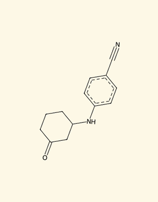 N#Cc1ccc(NC2CCCC(=O)C2)cc1